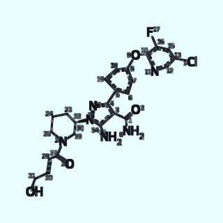 NC(=O)c1c(-c2ccc(Oc3ncc(Cl)cc3F)cc2)nn([C@@H]2CCCN(C(=O)C=CCO)C2)c1N